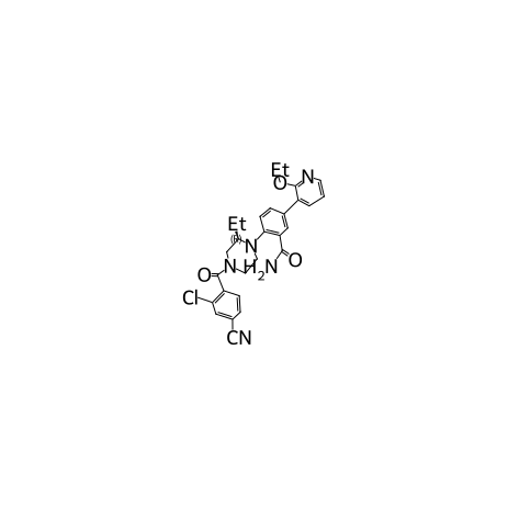 CCOc1ncccc1-c1ccc(N2CCN(C(=O)c3ccc(C#N)cc3Cl)C[C@H]2CC)c(C(N)=O)c1